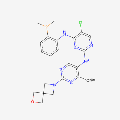 COc1nc(N2CC3(COC3)C2)ncc1Nc1ncc(Cl)c(Nc2ccccc2P(C)C)n1